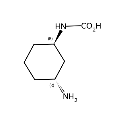 N[C@@H]1CCC[C@@H](NC(=O)O)C1